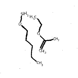 C=C(C)OCC.CCCCCO[SiH3]